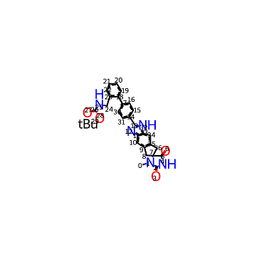 CN1C(=O)NC(=O)C12Cc1cc3nc(-c4ccc(-c5ccccc5CNC(=O)OC(C)(C)C)cc4)[nH]c3cc1C2